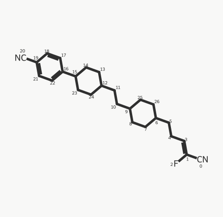 N#CC(F)=CCCC1CCC(CCC2CCC(c3ccc(C#N)cc3)CC2)CC1